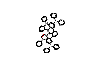 c1ccc(N(c2ccccc2)c2cc3c4c(c2)N(c2ccccc2)c2ccccc2B4N2B4c5ccccc5N(c5ccccc5)c5cc(N(c6ccccc6)c6ccccc6)cc(c54)-c4cccc-3c42)cc1